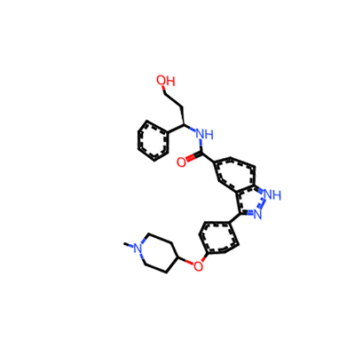 CN1CCC(Oc2ccc(-c3n[nH]c4ccc(C(=O)N[C@H](CCO)c5ccccc5)cc34)cc2)CC1